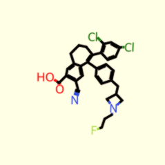 N#Cc1cc2c(cc1C(=O)O)CCCC(c1ccc(Cl)cc1Cl)=C2c1ccc(CC2CN(CCCF)C2)cc1